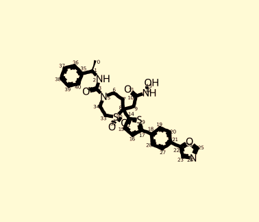 C[C@@H](NC(=O)N1CCC(CC(=O)NO)(c2ccc(-c3ccc(-c4cnco4)cc3)s2)S(=O)(=O)CC1)c1ccccc1